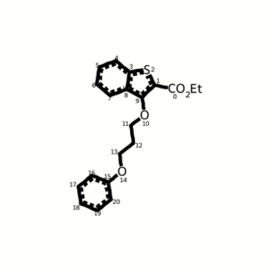 CCOC(=O)c1sc2ccccc2c1OCCCOc1ccccc1